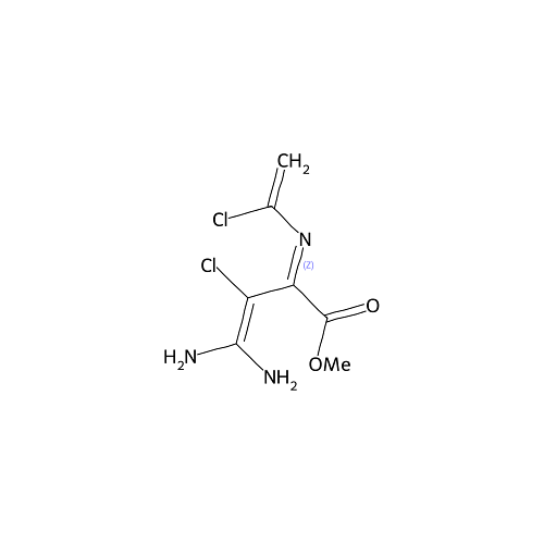 C=C(Cl)/N=C(/C(=O)OC)C(Cl)=C(N)N